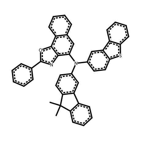 CC1(C)c2ccccc2-c2cc(N(c3ccc4sc5ccccc5c4c3)c3cc4ccccc4c4oc(-c5ccccc5)nc34)ccc21